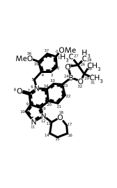 COc1ccc(Cn2c(=O)c3cnn(C4CCCCO4)c3c3ccc(B4OC(C)(C)C(C)(C)O4)cc32)c(OC)c1